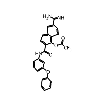 N=C(N)c1ccc2c(OC(=O)C(F)(F)F)c(C(=O)Nc3cccc(Oc4ccccc4)c3)ccc2c1